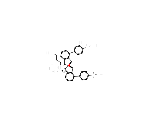 CCC[CH2][Hf]([CH3])([CH3])([CH3])(=[SiH2])([CH]1C=Cc2c(-c3ccc([Si](C)(C)C)cc3)cccc21)[CH]1C=Cc2c(-c3ccc([Si](C)(C)C)cc3)cccc21